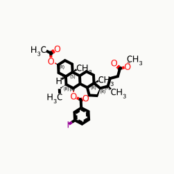 CC[C@H]1[C@@H](OC(=O)c2cccc(I)c2)C2C3CC[C@H]([C@H](C)CCC(=O)OC)[C@@]3(C)CCC2[C@@]2(C)CC[C@@H](OC(C)=O)C[C@@H]12